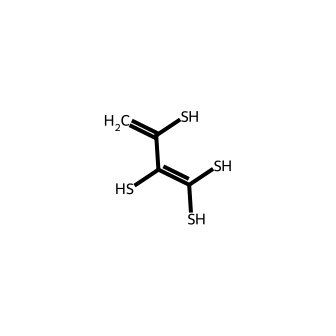 C=C(S)C(S)=C(S)S